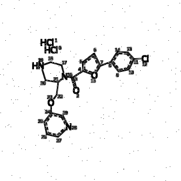 Cl.Cl.O=C(c1ccc(-c2ccc(Cl)cc2)o1)N1CCNCC1COc1cccnc1